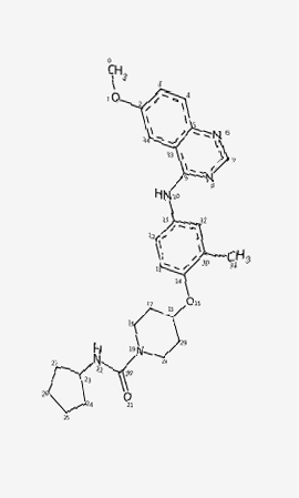 COc1ccc2ncnc(Nc3ccc(OC4CCN(C(=O)NC5CCCC5)CC4)c(C)c3)c2c1